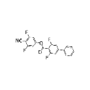 N#Cc1c(F)cc(OC(=O)c2c(F)cc(-c3ccccc3)cc2F)cc1F